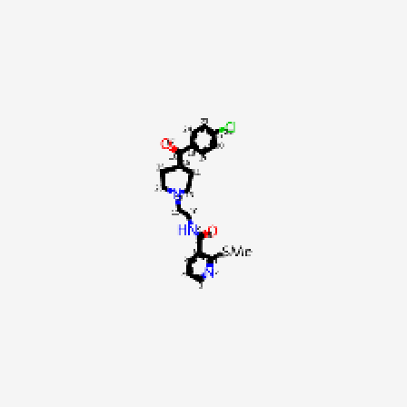 CSc1ncccc1C(=O)NCCN1CCC(C(=O)c2ccc(Cl)cc2)CC1